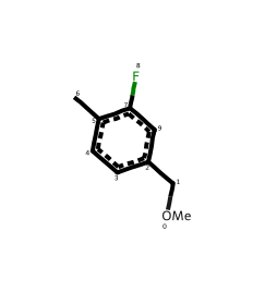 COCc1ccc(C)c(F)c1